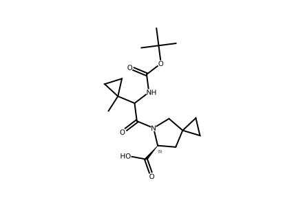 CC(C)(C)OC(=O)NC(C(=O)N1CC2(CC2)C[C@H]1C(=O)O)C1(C)CC1